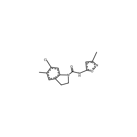 Cc1cc(NC(=O)N2CCc3cc(C)c(Cl)cc32)on1